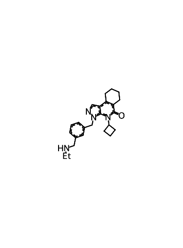 CCNCc1cccc(Cn2ncc3c4c(c(=O)n(C5CCC5)c32)CCCC4)c1